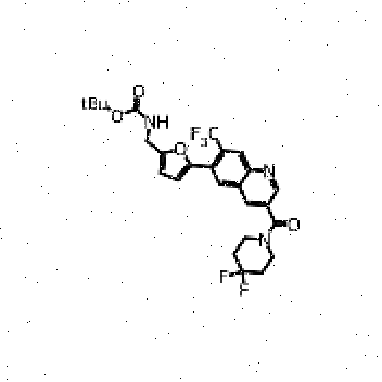 CC(C)(C)OC(=O)NCc1ccc(-c2cc3cc(C(=O)N4CCC(F)(F)CC4)cnc3cc2C(F)(F)F)o1